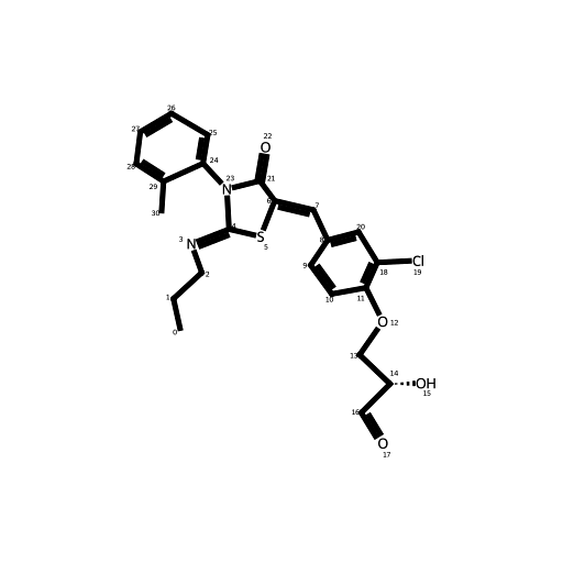 CCC/N=C1\S/C(=C\c2ccc(OC[C@H](O)C=O)c(Cl)c2)C(=O)N1c1ccccc1C